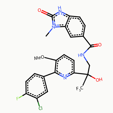 COc1ccc(C(O)(CNC(=O)c2ccc3[nH]c(=O)n(C)c3c2)C(F)(F)F)nc1-c1ccc(F)c(Cl)c1